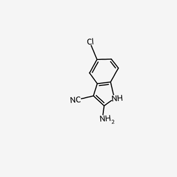 N#Cc1c(N)[nH]c2ccc(Cl)cc12